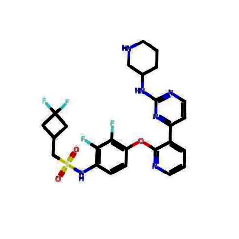 O=S(=O)(CC1CC(F)(F)C1)Nc1ccc(Oc2ncccc2-c2ccnc(NC3CCCNC3)n2)c(F)c1F